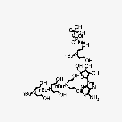 CCCCN(CCO)CCO.CCCCN(CCO)CCO.CCCCN(CCO)CCO.CCCCN(CCO)CCO.Nc1ncnc2c1ncn2[C@@H]1O[C@H](CO)[C@@H](O)[C@H]1O.O=P(O)(O)OP(=O)(O)O